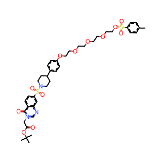 Cc1ccc(S(=O)(=O)OCCOCCOCCOCCOc2ccc(C3CCN(S(=O)(=O)c4ccc5c(=O)n(CC(=O)OC(C)(C)C)cnc5c4)CC3)cc2)cc1